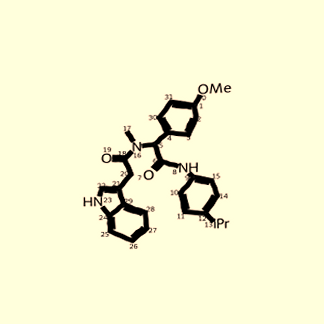 COc1ccc(C(C(=O)Nc2ccc(C(C)C)cc2)N(C)C(=O)Cc2c[nH]c3ccccc23)cc1